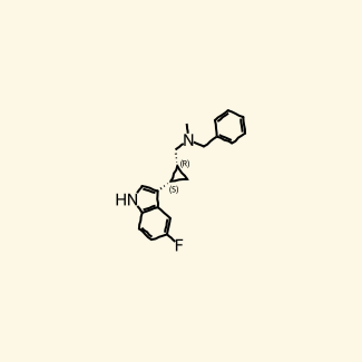 CN(Cc1ccccc1)C[C@@H]1C[C@@H]1c1c[nH]c2ccc(F)cc12